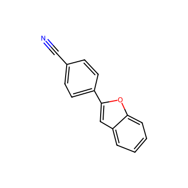 N#Cc1ccc(-c2cc3ccccc3o2)cc1